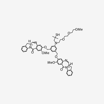 COCCOCCOCCN(CC(C)(C)S)c1cc(COc2cc3c(cc2OC)C(=O)N2c4ccccc4C[C@H]2C=N3)cc(COc2cc3c(cc2OC)C(=O)N2c4ccccc4C[C@H]2C=N3)c1